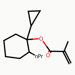 C=C(C)C(=O)OC1(C2CC2)CCCCC1CCC